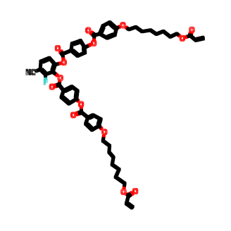 C=CC(=O)OCCCCCCCCOc1ccc(C(=O)Oc2ccc(C(=O)Oc3ccc(C#N)c(F)c3OC(=O)c3ccc(OC(=O)c4ccc(OCCCCCCCCOC(=O)C=C)cc4)cc3)cc2)cc1